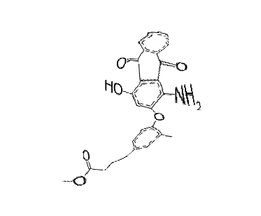 COC(=O)CCCc1ccc(Oc2cc(O)c3c(c2N)C(=O)c2ccccc2C3=O)c(C)c1